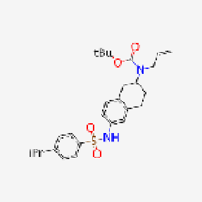 C=CCN(C(=O)OC(C)(C)C)C1CCc2cc(NS(=O)(=O)c3ccc(C(C)C)cc3)ccc2C1